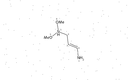 CO[SiH](CC=CN)OC